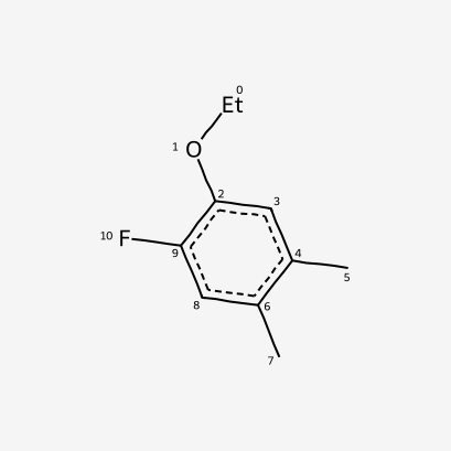 CCOc1cc(C)c(C)cc1F